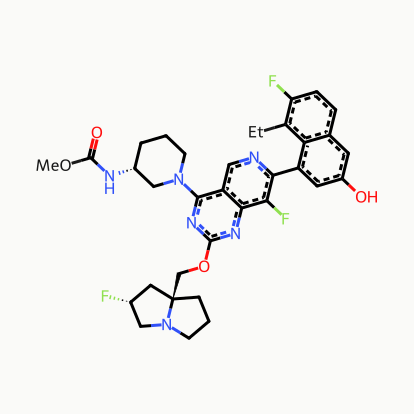 CCc1c(F)ccc2cc(O)cc(-c3ncc4c(N5CCC[C@@H](NC(=O)OC)C5)nc(OC[C@@]56CCCN5C[C@H](F)C6)nc4c3F)c12